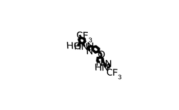 Cn1c(Nc2ccc(C(F)(F)F)cc2O)nc2cc(Oc3ccnc(C4=NCC(C(F)(F)F)N4)c3)ccc21